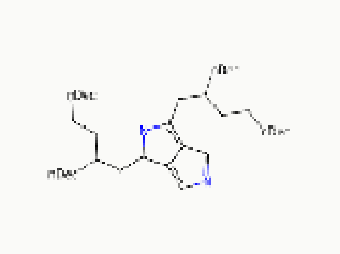 CCCCCCCCCCCCC(CCCCCCCCCC)CC1=NC(CC(CCCCCCCCCC)CCCCCCCCCCCC)=C2C=NC=C12